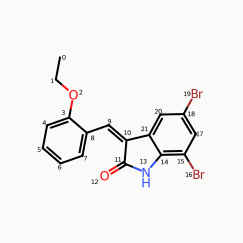 CCOc1ccccc1C=C1C(=O)Nc2c(Br)cc(Br)cc21